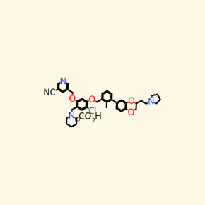 Cc1c(COc2cc(OCc3cncc(C#N)c3)c(CN3CCCC[C@H]3C(=O)O)cc2Cl)cccc1-c1ccc2c(c1)OC(CCN1CCCC1)CO2